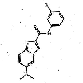 CN(C)c1ccc2nc(C(=O)Nc3cccc(Cl)c3)cn2c1